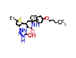 CCc1ccc(C2=C(N3N=NNC3O)C(=O)N[C@@](c3ccc(OCCCC(F)(F)F)cc3)(C(F)(F)F)C2)s1